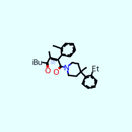 CCc1ccccc1C1(C)CCN(C(=O)/C(=C(/C)C(=O)C(C)CC)c2ccccc2C)CC1